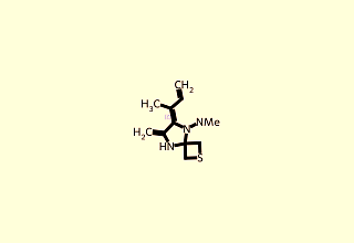 C=C/C(C)=C1/C(=C)NC2(CSC2)N1NC